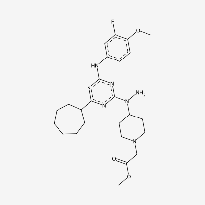 COC(=O)CN1CCC(N(N)c2nc(Nc3ccc(OC)c(F)c3)nc(C3CCCCCC3)n2)CC1